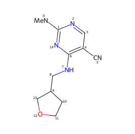 CNc1ncc(C#N)c(NCC2CCOC2)n1